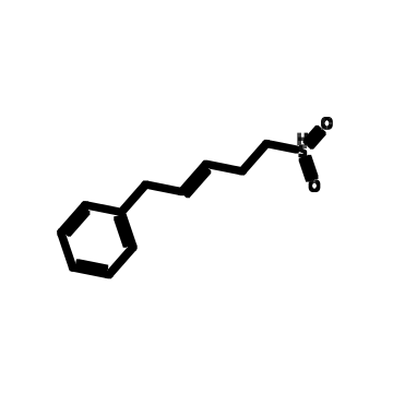 O=[SH](=O)CCC=CCc1ccccc1